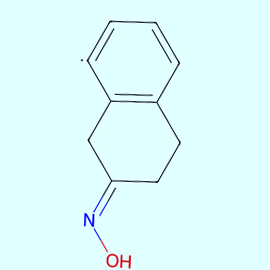 O/N=C1\CCc2ccc[c]c2C1